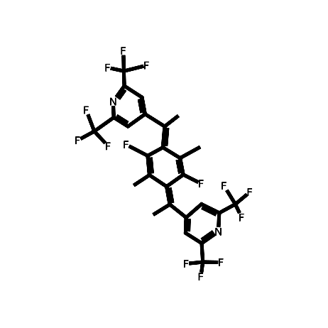 C/C(c1cc(C(F)(F)F)nc(C(F)(F)F)c1)=c1\c(C)c(F)/c(=C(/C)c2cc(C(F)(F)F)nc(C(F)(F)F)c2)c(C)c1F